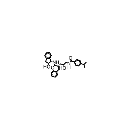 CC(C)c1ccc(C(=O)NC[C@@H](O)C[C@@H](Cc2ccccc2)C(=O)N[C@H]2c3ccccc3C[C@H]2O)cc1